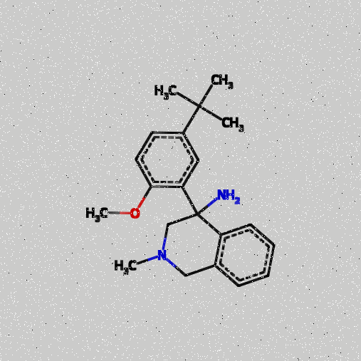 COc1ccc(C(C)(C)C)cc1C1(N)CN(C)Cc2ccccc21